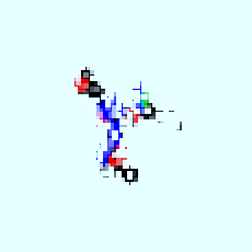 CCc1c(N2CCN(C(=O)c3ncnc(C)c3OCc3ccccc3)CC2)c(=O)n2nc(-c3ccc4c(c3)COC43CCC3)nc2n1CC(=O)Nc1ccc(C(F)(F)F)cc1Cl